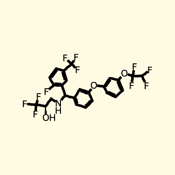 O[C@H](CNC(c1cccc(Oc2cccc(OC(F)(F)C(F)F)c2)c1)c1cc(C(F)(F)F)ccc1F)C(F)(F)F